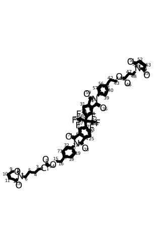 O=C(CCCCCN1OCC=CC1=O)OCCc1ccc(N2C(=O)c3ccc(C(c4ccc5c(c4)C(=O)N(c4ccc(CCOC(=O)CCN6C(=O)C=CC6=O)cc4)C5=O)(C(F)(F)F)C(F)(F)F)cc3C2=O)cc1